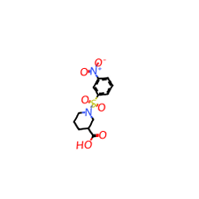 O=C(O)C1CCCN(S(=O)(=O)c2cccc([N+](=O)[O-])c2)C1